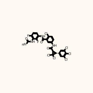 CCCC(=O)Nc1c(F)ccc(NC(=O)c2cc(NC(=O)C3[C@H](c4cc(Cl)c(Cl)c(Cl)c4)C3(Cl)Cl)ccc2Cl)c1F